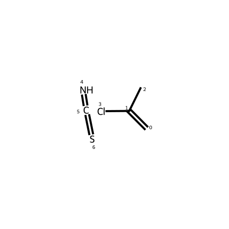 C=C(C)Cl.N=C=S